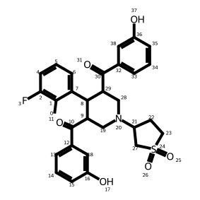 Cc1c(F)cccc1C1C(C(=O)c2cccc(O)c2)CN(C2CCS(=O)(=O)C2)CC1C(=O)c1cccc(O)c1